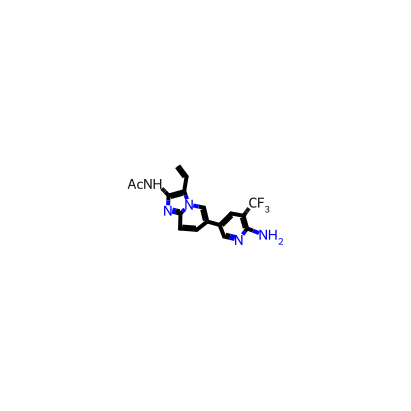 C=Cc1c(NC(C)=O)nc2ccc(-c3cnc(N)c(C(F)(F)F)c3)cn12